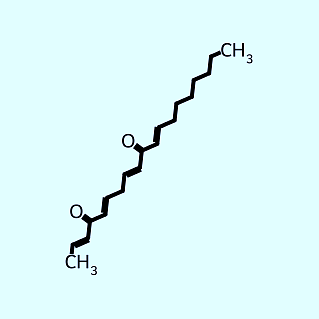 CC=CC(=O)C=CCC=CC(=O)C=CCCCCCCC